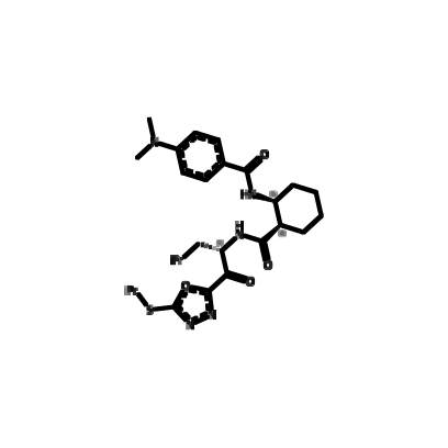 CC(C)C[C@H](NC(=O)[C@@H]1CCCC[C@@H]1NC(=O)c1ccc(N(C)C)cc1)C(=O)c1nnc(SC(C)C)o1